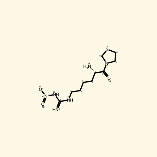 N=C(NCCCC[C@H](N)C(=O)N1CCSC1)N[N+](=O)[O-]